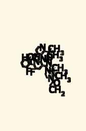 C=CC(=O)N1CCN(c2nc(=O)n(-c3c(C)ccnc3C(C)C)c3nc(-c4c(O)cccc4F)c(F)cc23)[C@H](C)[C@@H]1C